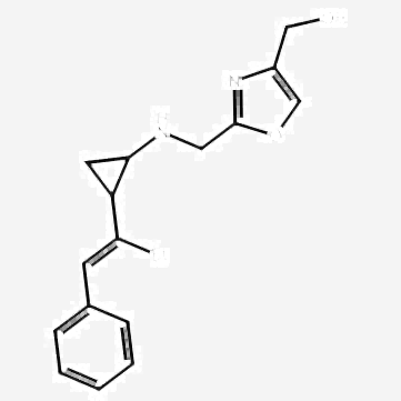 CC/C(=C\c1ccccc1)C1CC1NCc1nc(CO)co1